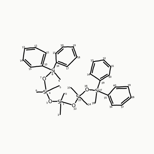 C[Si](C)(O[Si](C)(C)O[Si](C)(c1ccccc1)c1ccccc1)O[Si](C)(C)O[Si](C)(c1ccccc1)c1ccccc1